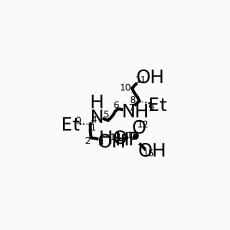 CC[C@@H](CO)NCCN[C@@H](CC)CO.O=[PH](O)O